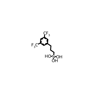 O[Si](O)(O)CCCc1cc(C(F)(F)F)cc(C(F)(F)F)c1